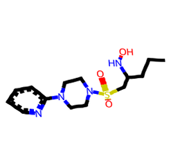 CCCC(CS(=O)(=O)N1CCN(c2ccccn2)CC1)NO